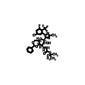 Cc1nc([C@@H]2O[C@@H]3COC(c4ccccc4)O[C@@H]3[C@H](NNC(=O)OC(C)(C)C)[C@H]2O)n(-c2cc(Cl)cc(F)c2C(F)(F)F)n1